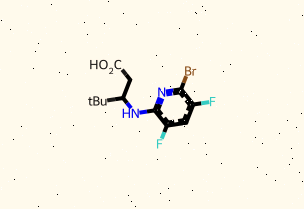 CC(C)(C)C(CC(=O)O)Nc1nc(Br)c(F)cc1F